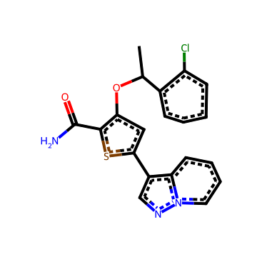 CC(Oc1cc(-c2cnn3ccccc23)sc1C(N)=O)c1ccccc1Cl